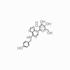 OC[C@H]1O[C@@H](n2cnc(NCc3ccc(O)cc3)c3ncnc2-3)[C@H](O)[C@@H](O)[C@@H]1O